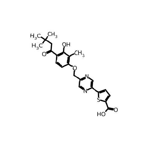 Cc1c(OCc2cnc(-c3ccc(C(=O)O)s3)cn2)ccc(C(=O)CC(C)(C)C)c1O